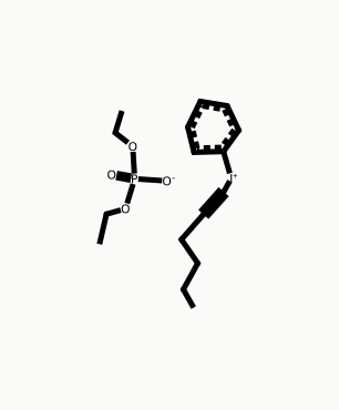 CCCCC#C[I+]c1ccccc1.CCOP(=O)([O-])OCC